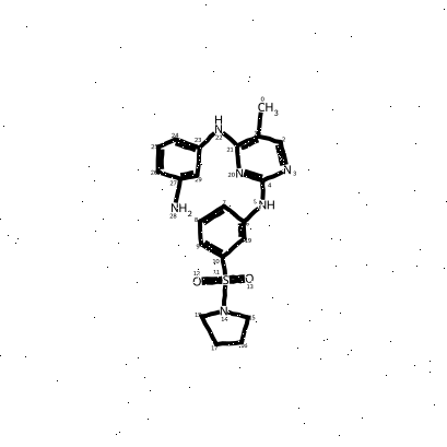 Cc1cnc(Nc2cccc(S(=O)(=O)N3CCCC3)c2)nc1Nc1cccc(N)c1